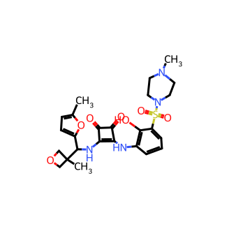 Cc1ccc(C(Nc2c(Nc3cccc(S(=O)(=O)N4CCN(C)CC4)c3O)c(=O)c2=O)C2(C)COC2)o1